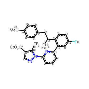 CCOC(=O)c1cnn(-c2cccc(-c3cc(F)ccc3C(C)Cc3ccc(OC)cc3)n2)c1C(F)(F)F